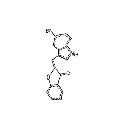 O=C1C(=Cc2c[nH]c3ccc(Br)cc23)Oc2ccccc21